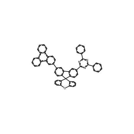 c1ccc(-c2nc(-c3ccccc3)nc(-c3ccc4c(c3)-c3cc(-c5ccc6c7ccccc7c7ccccc7c6c5)ccc3C43c4ccccc4Oc4ccccc43)n2)cc1